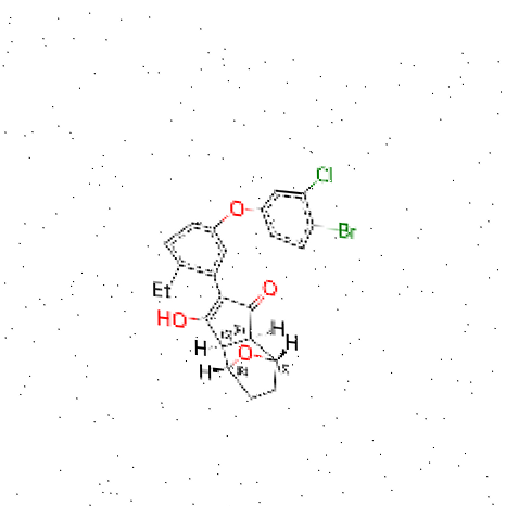 CCc1ccc(Oc2ccc(Br)c(Cl)c2)cc1C1=C(O)[C@H]2[C@@H](C1=O)[C@@H]1CC[C@H]2O1